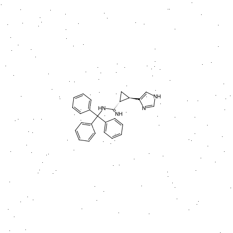 N=C(NC(c1ccccc1)(c1ccccc1)c1ccccc1)[C@@H]1C[C@H]1c1c[nH]cn1